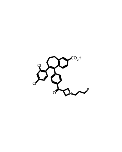 O=C(O)c1ccc2c(c1)CCCC(c1ccc(Cl)cc1Cl)=C2c1ccc(C(=O)C2CN(CCCF)C2)cc1